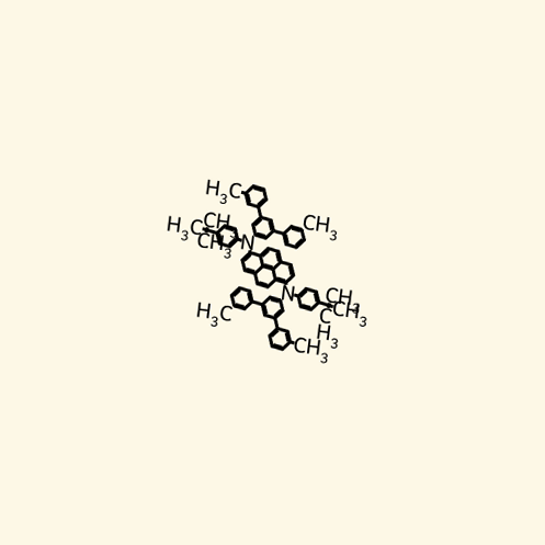 Cc1cccc(-c2cc(-c3cccc(C)c3)cc(N(c3ccc(C(C)(C)C)cc3)c3ccc4ccc5c(N(c6ccc(C(C)(C)C)cc6)c6cc(-c7cccc(C)c7)cc(-c7cccc(C)c7)c6)ccc6ccc3c4c65)c2)c1